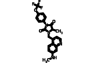 CNc1ccc2c(CN3C(=O)N(c4ccc(OC(F)(F)F)cc4)C(=O)C3C)ccnc2c1